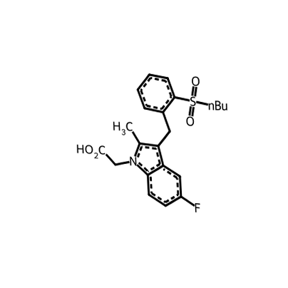 CCCCS(=O)(=O)c1ccccc1Cc1c(C)n(CC(=O)O)c2ccc(F)cc12